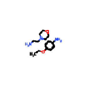 CCOc1ccc(N)cc1.NCCN1CCOCC1